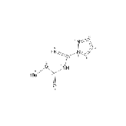 CC(C)(C)OC(=O)NC(=N)n1cccn1